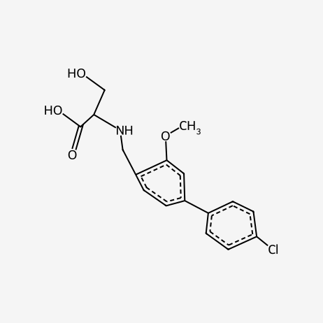 COc1cc(-c2ccc(Cl)cc2)ccc1CNC(CO)C(=O)O